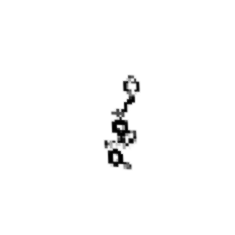 Brc1cccc(Nc2ncnc3cc(NCCCN4CCOCC4)ccc23)c1